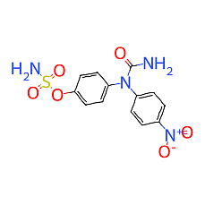 NC(=O)N(c1ccc(OS(N)(=O)=O)cc1)c1ccc([N+](=O)[O-])cc1